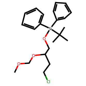 COCOC(CCCl)CO[Si](c1ccccc1)(c1ccccc1)C(C)(C)C